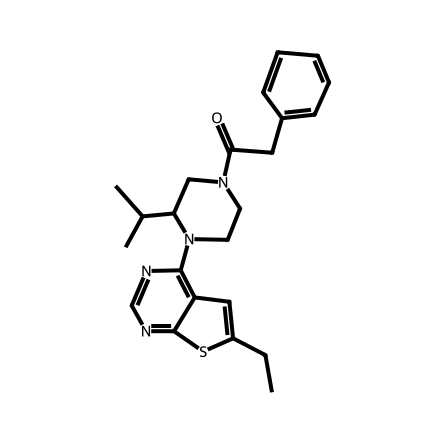 CCc1cc2c(N3CCN(C(=O)Cc4ccccc4)CC3C(C)C)ncnc2s1